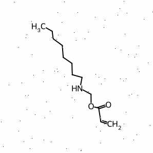 C=CC(=O)OCNCCCCCCCC